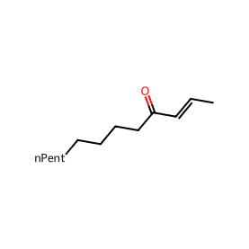 CC=CC(=O)CCCCCCCCC